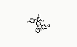 O=C1NCN(c2ccc(F)cc2)C12CCN([C@@H]1CCCC[C@@H]1c1ccc(Cl)cc1)CC2